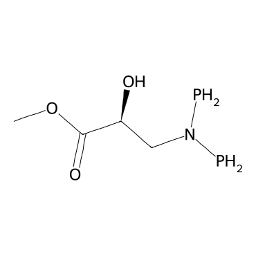 COC(=O)[C@@H](O)CN(P)P